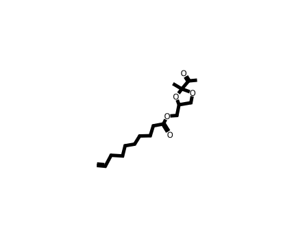 C=CCCCCCCCC(=O)OCC1COC(C)(C(C)=O)O1